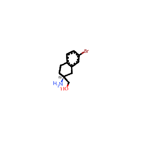 N[C@@]1(CO)CCc2ccc(Br)cc2C1